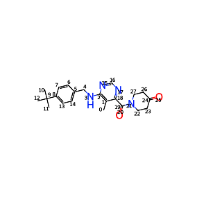 Cc1c(NCc2ccc(C(C)(C)C)cc2)ncnc1C(=O)N1CCC(=O)CC1